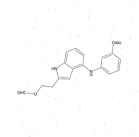 COc1cccc(Nc2cccc3[nH]c(CCOC=O)cc23)c1